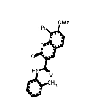 CCCc1c(OC)ccc2cc(C(=O)Nc3ccccc3C)c(=O)oc12